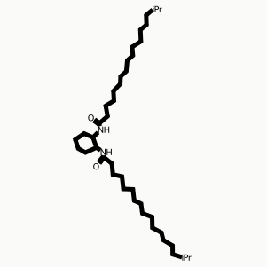 CC(C)CCCCCCCCCCCCCCC(=O)NC1CCCCC1NC(=O)CCCCCCCCCCCCCCC(C)C